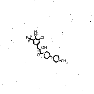 CN1CCN(C2CCN(C(=O)[C@H](O)Cc3cc(Cl)c(N)c(C(F)(F)F)c3)CC2)CC1